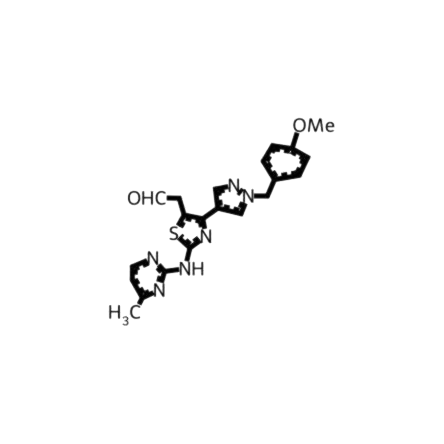 COc1ccc(Cn2cc(-c3nc(Nc4nccc(C)n4)sc3CC=O)cn2)cc1